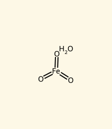 O.[O]=[Fe](=[O])=[O]